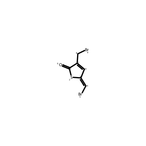 O=C1SC(=CBr)C=C1CBr